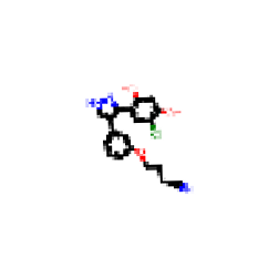 N#CCCCOc1cccc(-c2c[nH]nc2-c2cc(Cl)c(O)cc2O)c1